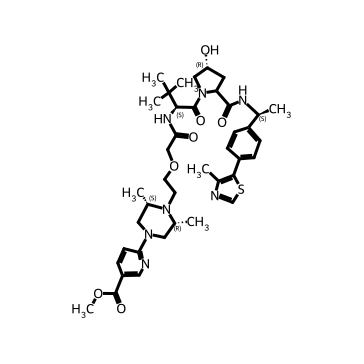 COC(=O)c1ccc(N2C[C@@H](C)N(CCOCC(=O)N[C@H](C(=O)N3C[C@H](O)CC3C(=O)N[C@@H](C)c3ccc(-c4scnc4C)cc3)C(C)(C)C)[C@@H](C)C2)nc1